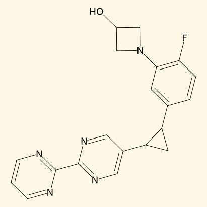 OC1CN(c2cc(C3CC3c3cnc(-c4ncccn4)nc3)ccc2F)C1